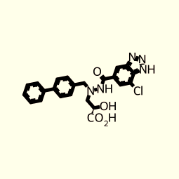 O=C(NN(Cc1ccc(-c2ccccc2)cc1)C[C@H](O)C(=O)O)c1cc(Cl)c2[nH]nnc2c1